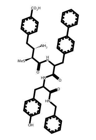 CS[C@H](C(=O)NC(Cc1ccc(-c2ccccc2)cc1)C(=O)NC(Cc1ccc(O)cc1)C(=O)NCc1ccccc1)[C@@H](N)Cc1ccc(C(=O)O)cc1